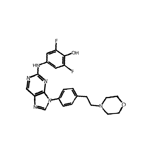 Oc1c(F)cc(Nc2ncc3ncn(-c4ccc(CCN5CCOCC5)cc4)c3n2)cc1F